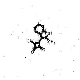 Cc1[nH]c2ccccc2c1-c1c(Cl)c(=O)c1=O